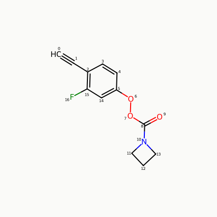 C#Cc1ccc(OOC(=O)N2CCC2)cc1F